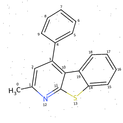 Cc1[c]c(-c2ccccc2)c2c(n1)sc1ccccc12